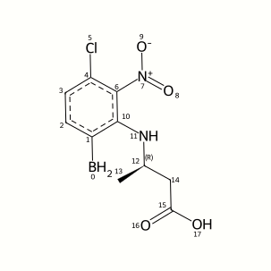 Bc1ccc(Cl)c([N+](=O)[O-])c1N[C@H](C)CC(=O)O